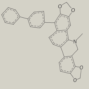 CN1Cc2c(ccc3c2OCO3)-c2ccc3c(-c4ccc(-c5ccccc5)cc4)c4c(cc3c21)OCO4